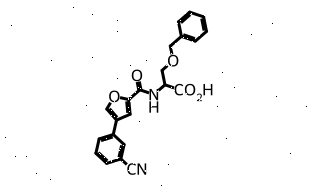 N#Cc1cccc(-c2coc(C(=O)NC(COCc3ccccc3)C(=O)O)c2)c1